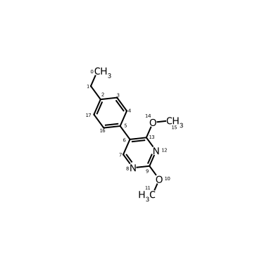 CCc1ccc(-c2cnc(OC)nc2OC)cc1